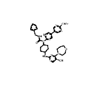 COc1ncc(-c2cnc(N(C(=O)NCc3ccccc3)C3CCC(Nc4ncc(C#N)c(N5CCCOCC5)n4)CC3)nc2)cn1